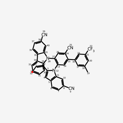 C/C=C\c1cc2ccc(C#N)cc2n1-c1cc(-c2cc(C)cc(C(F)(F)F)c2)c(C#N)cc1-n1c2ccccc2c2ccc(C#N)cc21